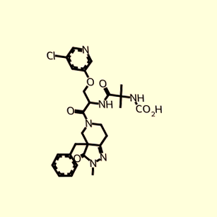 CN1N=C2CCN(C(=O)C(COc3cncc(Cl)c3)NC(=O)C(C)(C)NC(=O)O)CC2(Cc2ccccc2)C1=O